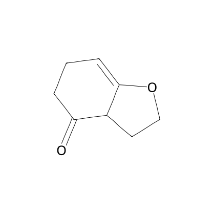 O=C1CCC=C2OCCC12